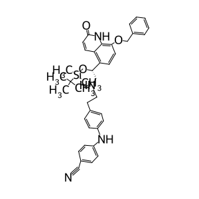 CC(C)(C)[Si](C)(C)O[C@@H](CNCCc1ccc(Nc2ccc(C#N)cc2)cc1)c1ccc(OCc2ccccc2)c2[nH]c(=O)ccc12